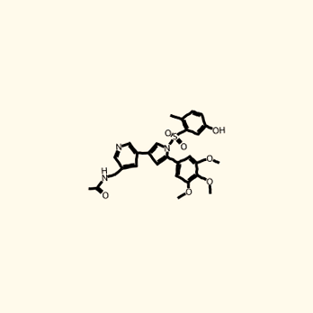 COc1cc(-c2cc(-c3cncc(CNC(C)=O)c3)cn2S(=O)(=O)c2cc(O)ccc2C)cc(OC)c1OC